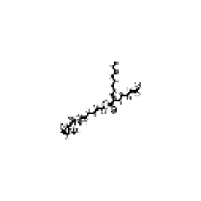 CCCCCCCCC(CCCCCC)C(=O)OCCCCCCNCc1nccn1C